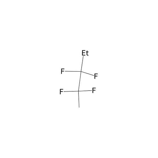 [CH2]CC(F)(F)C(C)(F)F